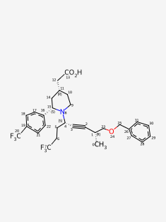 C[C@H](C#C[C@H](CCC(F)(F)F)N1CC[C@@H](CC(=O)O)C[C@H]1c1ccc(C(F)(F)F)cc1)COCc1ccccc1